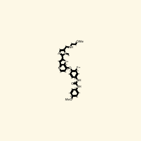 COCCNCc1cnc(-c2cc3nccc(Oc4ccc(NC(=O)Nc5ccc(OC)cc5)cc4F)c3s2)n1C